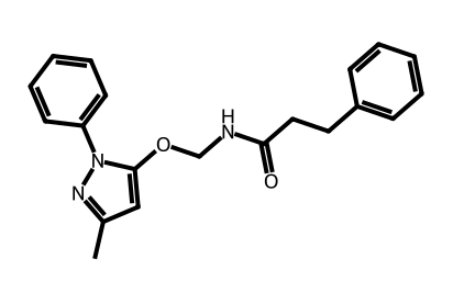 Cc1cc(OCNC(=O)CCc2ccccc2)n(-c2ccccc2)n1